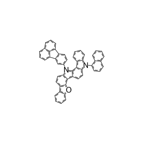 c1ccc2c(-n3c4ccccc4c4c3ccc3c5c6oc7ccccc7c6ccc5n(-c5ccc6c(c5)-c5cccc7cccc-6c57)c34)cccc2c1